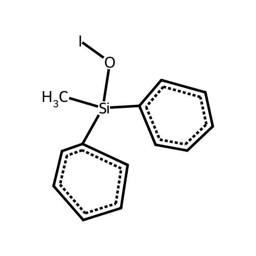 C[Si](OI)(c1ccccc1)c1ccccc1